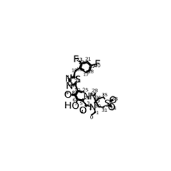 CCN1C(=O)c2c(O)c(=O)c(-c3nnc(Cc4ccc(F)cc4F)s3)cn2N(C)C12CCS(=O)(=O)CC2